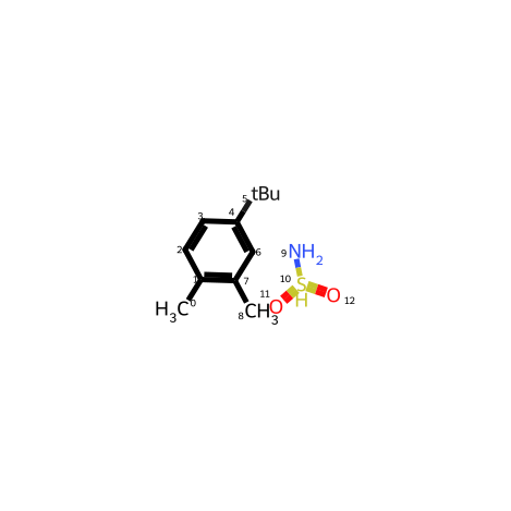 Cc1ccc(C(C)(C)C)cc1C.N[SH](=O)=O